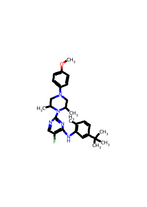 COc1ccc(N2CC(C)N(c3ncc(F)c(Nc4cc(C(C)(C)C)ccc4C)n3)C(C)C2)cc1